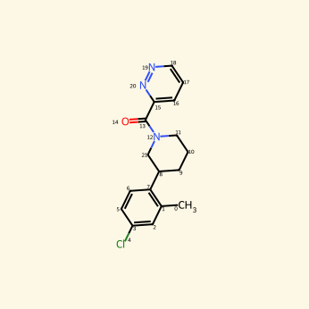 Cc1cc(Cl)ccc1C1CCCN(C(=O)c2cccnn2)C1